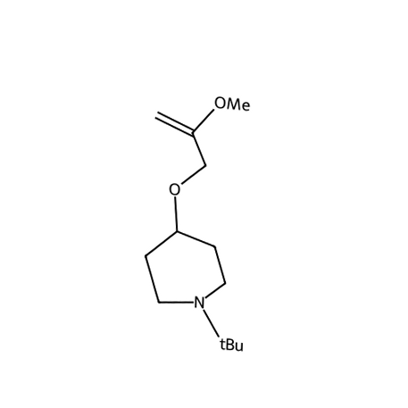 C=C(COC1CCN(C(C)(C)C)CC1)OC